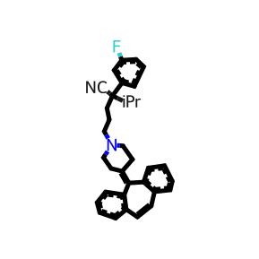 CC(C)C(C#N)(CCCN1CCC(=C2c3ccccc3C=Cc3ccccc32)CC1)c1cccc(F)c1